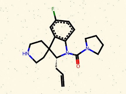 C=CC[C@H]1N(C(=O)N2CCCC2)c2ccc(F)cc2C12CCNCC2